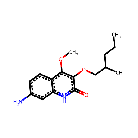 CCCC(C)COc1c(OC)c2ccc(N)cc2[nH]c1=O